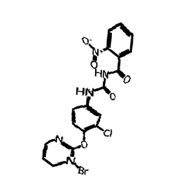 O=C(NC(=O)c1ccccc1[N+](=O)[O-])Nc1ccc(OC2=NC=CCN2Br)c(Cl)c1